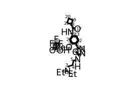 CCN(CC)CCCNc1nnc(-c2ccc(NC(=O)C3CCC3)cc2OC)o1.O=C(O)C(F)(F)F